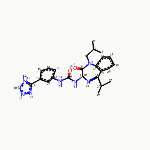 CC(C)CN1C(=O)[C@H](NC(=O)Nc2cccc(-c3nnn[nH]3)c2)N=C(C(C)C)c2ccccc21